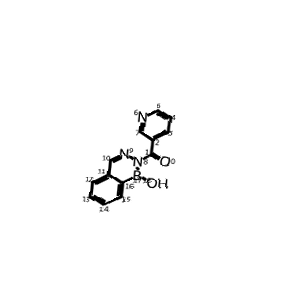 O=C(c1cccnc1)N1N=Cc2ccccc2B1O